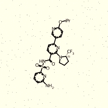 CC(C)Oc1ccc(-c2ccc(C(=O)NS(=O)(=O)c3cccc(N)n3)c(N3CCC[C@H]3C(F)(F)F)n2)cn1